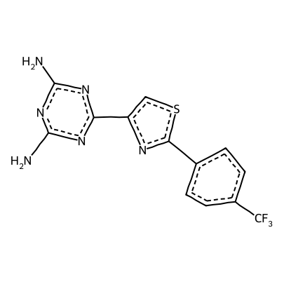 Nc1nc(N)nc(-c2csc(-c3ccc(C(F)(F)F)cc3)n2)n1